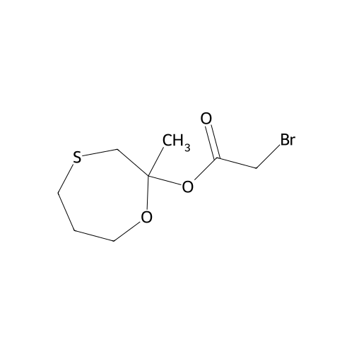 CC1(OC(=O)CBr)CSCCCO1